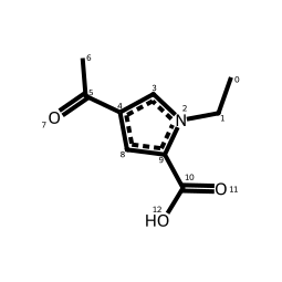 CCn1cc(C(C)=O)cc1C(=O)O